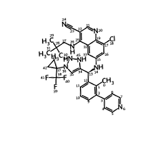 Cc1c(-c2ccncc2)cccc1[C@H](Nc1cc(Cl)c2ncc(C#N)c(NCC(C)(C)C)c2c1)C1=CN(C2(C(F)(F)F)CC2)NN1